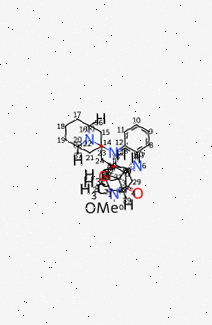 CON(C)C(=O)c1nc2ccccc2n(C2C[C@H]3CCC[C@@H](C2)N3CC[C@@H]2CC[C@H]3C[C@H]2C3(C)C)c1=O